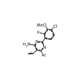 C=Cc1c(N)nc(-c2ccc(Cl)c(OC)c2F)nc1C(C)=O